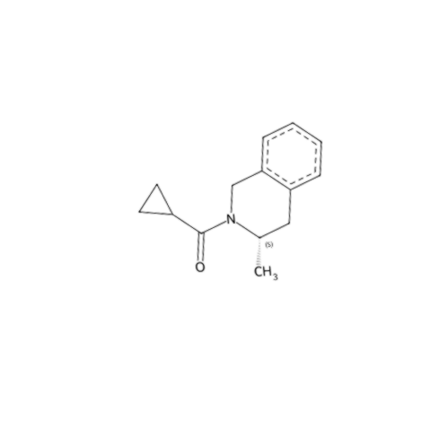 C[C@H]1Cc2ccccc2CN1C(=O)C1CC1